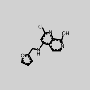 Oc1nccc2c(NCc3ccco3)cc(Cl)nc12